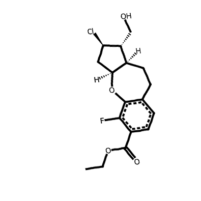 CCOC(=O)c1ccc2c(c1F)O[C@H]1C[C@@H](Cl)[C@H](CO)[C@H]1CC2